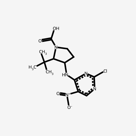 CC(C)(C)C1C(Nc2nc(Cl)ncc2[N+](=O)[O-])CCN1C(=O)O